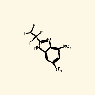 O=[N+]([O-])c1cc(C(F)(F)F)cc2[nH]c(C(F)(F)C(F)F)nc12